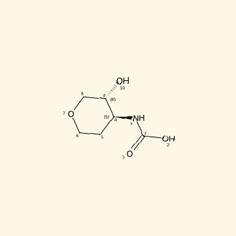 O=C(O)N[C@H]1CCOC[C@@H]1O